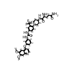 COc1cc2nccc(Oc3cccc(NC(=O)Nc4ccc(N5CCC(NC(=O)[C@@H](N)CCC(N)=O)CC5)c(C(F)(F)F)c4)c3)c2cc1OC